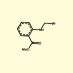 COC(=O)c1ccccc1NCC(C)C